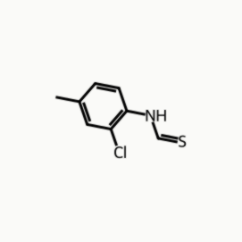 Cc1ccc(NC=S)c(Cl)c1